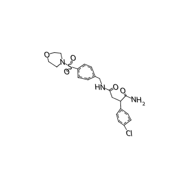 NC(=O)C(CC(=O)NCc1ccc(S(=O)(=O)N2CCOCC2)cc1)c1ccc(Cl)cc1